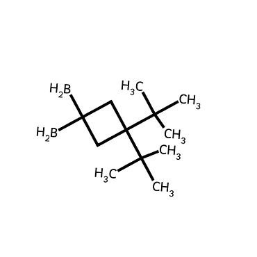 BC1(B)CC(C(C)(C)C)(C(C)(C)C)C1